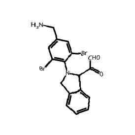 NCc1cc(Br)c(N2Cc3ccccc3C2C(=O)C=O)c(Br)c1